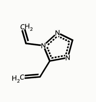 C=Cc1ncnn1C=C